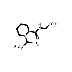 CCOC(=O)C(C)N1CCCCN1C(=O)NCC(=O)O